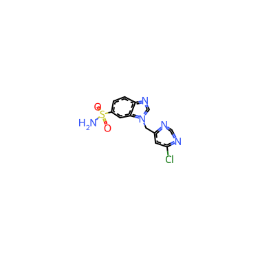 NS(=O)(=O)c1ccc2ncn(Cc3cc(Cl)ncn3)c2c1